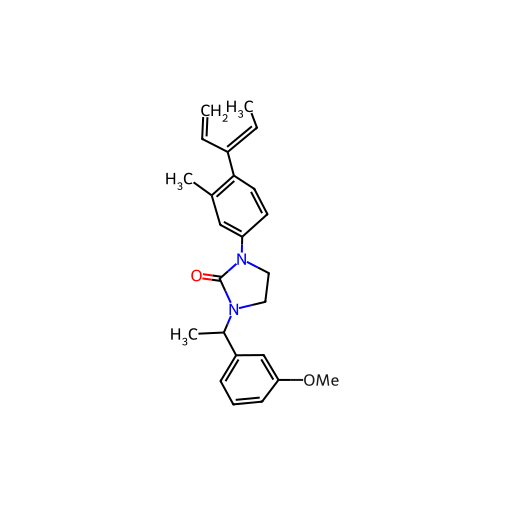 C=C/C(=C\C)c1ccc(N2CCN(C(C)c3cccc(OC)c3)C2=O)cc1C